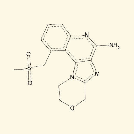 CS(=O)(=O)Cc1cccc2nc(N)c3nc4n(c3c12)CCOC4